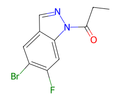 CCC(=O)n1ncc2cc(Br)c(F)cc21